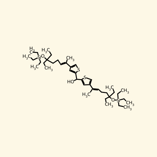 CCC(CC)(CCC=C(C)c1csc(C(O)c2cc(C(C)=CCCC(CC)(CC)O[Si](CC)(CC)CC)cs2)c1)O[Si](CC)(CC)CC